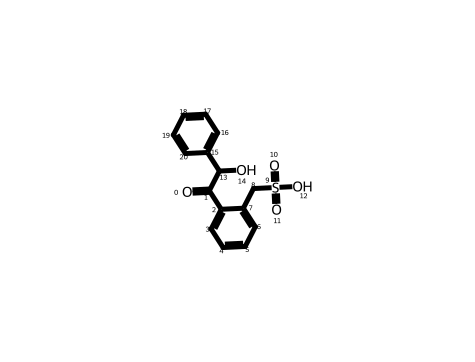 O=C(c1ccccc1CS(=O)(=O)O)C(O)c1ccccc1